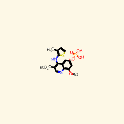 CCOC(=O)c1cnc2c(OCC)cccc2c1Nc1sccc1C.O=P(O)(O)O